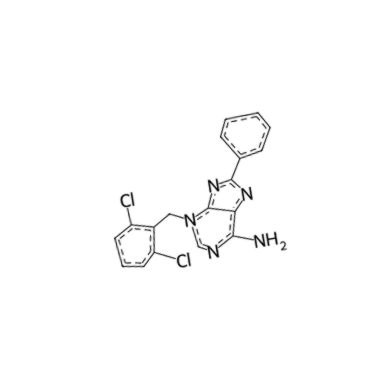 Nc1ncn(Cc2c(Cl)cccc2Cl)c2nc(-c3ccccc3)nc1-2